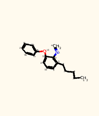 C=Nc1c(CCCCC)cccc1Oc1ccccc1